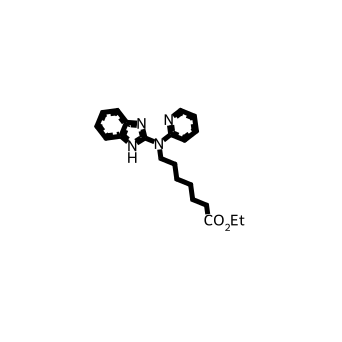 CCOC(=O)CCCCCCN(c1ccccn1)c1nc2ccccc2[nH]1